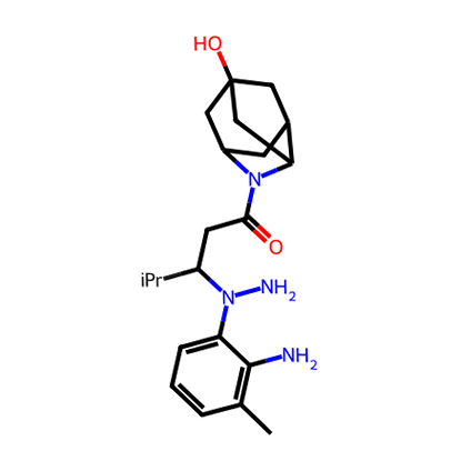 Cc1cccc(N(N)C(CC(=O)N2C3CC4CC(O)(C3)CC42)C(C)C)c1N